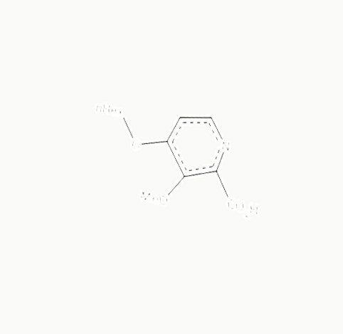 CCCCCCOc1ccnc(C(=O)O)c1OC